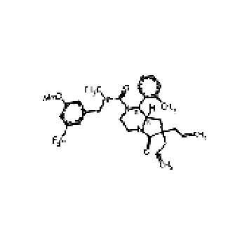 C=CCC1(CC=C)C[C@H]2[C@H](c3ccccc3C)N(C(=O)N(C)Cc3cc(OC)cc(C(F)(F)F)c3)CCN2C1=O